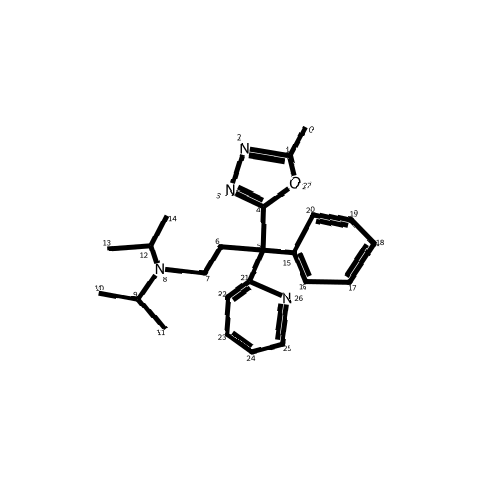 Cc1nnc(C(CCN(C(C)C)C(C)C)(c2ccccc2)c2ccccn2)o1